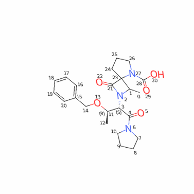 CC1N([C@H](C(=O)N2CCCC2)[C@@H](C)OCc2ccccc2)C(=O)C12CCCN2C(=O)O